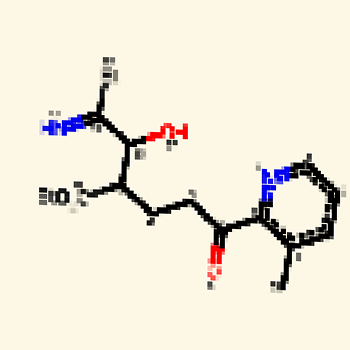 CCOC(=O)C(CCC(=O)c1ncccc1C)C(O)C(=N)CC